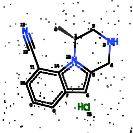 C[C@@H]1CNCc2cc3cccc(C#N)c3n21.Cl